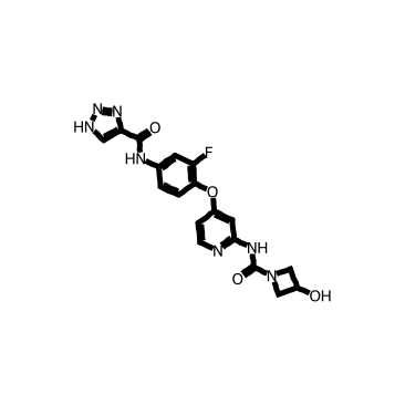 O=C(Nc1ccc(Oc2ccnc(NC(=O)N3CC(O)C3)c2)c(F)c1)c1c[nH]nn1